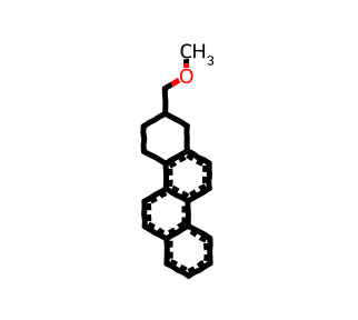 COCC1CCc2c(ccc3c2ccc2ccccc23)C1